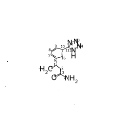 [CH2]C(CC(N)=O)c1cccc(-c2nnn[nH]2)c1